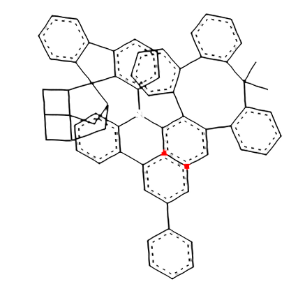 CC1(C)c2ccccc2-c2ccccc2-c2c(cccc2N(c2ccccc2-c2cccc(-c3ccccc3)c2)c2cccc3c2C2(c4ccccc4-3)C3CC4CC5CC2C45C3)-c2ccccc21